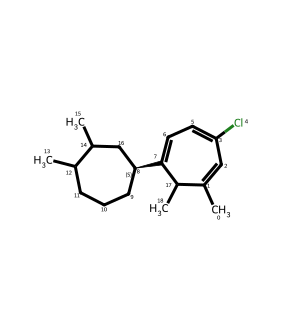 CC1=CC(Cl)=CC=C([C@H]2CCCC(C)C(C)C2)C1C